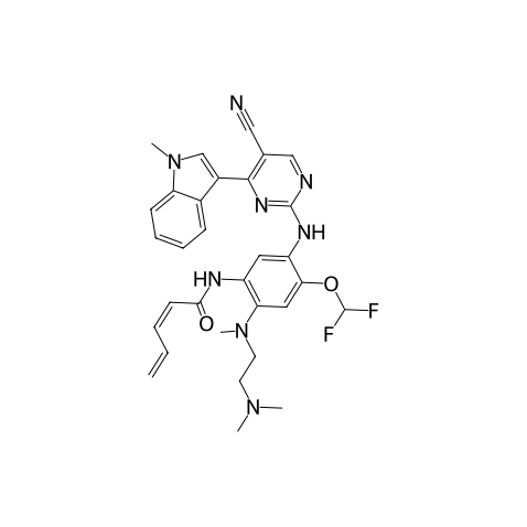 C=C/C=C\C(=O)Nc1cc(Nc2ncc(C#N)c(-c3cn(C)c4ccccc34)n2)c(OC(F)F)cc1N(C)CCN(C)C